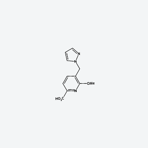 COc1nc(C(=O)O)ccc1Cn1cccn1